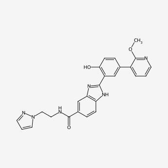 COc1ncccc1-c1ccc(O)c(-c2nc3cc(C(=O)NCCn4cccn4)ccc3[nH]2)c1